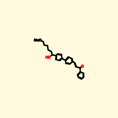 COCCCCCC(O)c1ccc(-c2ccc(/C=C/C(=O)c3ccccc3)cc2)cc1